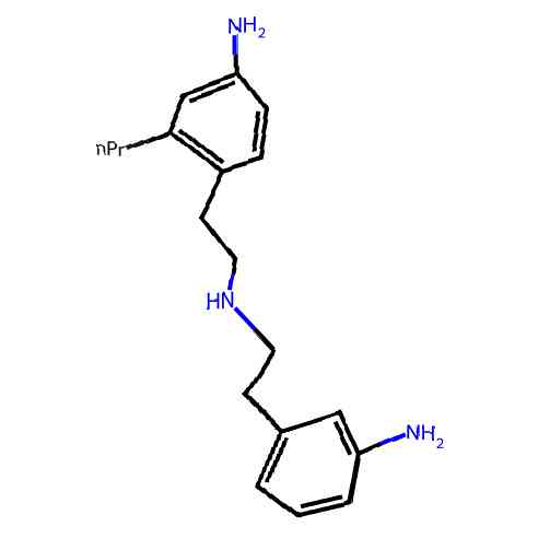 CCCc1cc(N)ccc1CCNCCc1cccc(N)c1